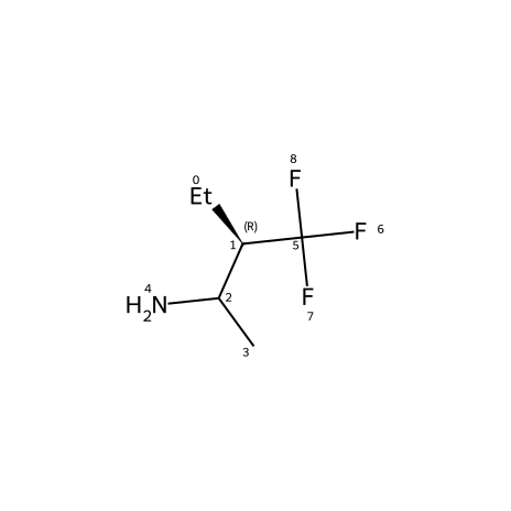 CC[C@H](C(C)N)C(F)(F)F